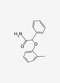 Cc1ccccc1OC(C(N)=O)c1ccccc1